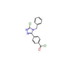 O=C(Cl)c1ccc(-c2nnc(Cl)n2Cc2ccccc2)cc1